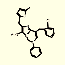 CC(=O)Oc1c(Cc2ccc(C)o2)nc2n1CN(c1ccccc1)C=C2Cc1ccccc1Cl